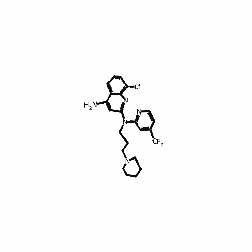 Nc1cc(N(CCCN2CCCCC2)c2cc(C(F)(F)F)ccn2)nc2c(Cl)cccc12